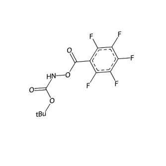 CC(C)(C)OC(=O)NOC(=O)c1c(F)c(F)c(F)c(F)c1F